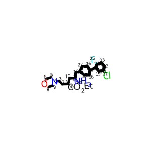 CCOC(=O)[C@H](CCN1CCOCC1)C[C@H](N)Cc1ccc(-c2cc(Cl)ccc2F)cc1